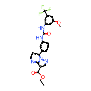 CCOC(=O)c1cnn2c(-c3cccc(NC(=O)Nc4cc(OC)cc(C(F)(F)F)c4)c3)ccnc12